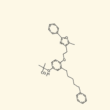 Cc1oc(-c2ccccc2)nc1CCOc1ccc(OC(C)(C)C(=O)O)cc1CCCCCc1ccccc1